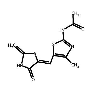 C=c1[nH]c(=O)/c(=C/c2sc(NC(C)=O)nc2C)s1